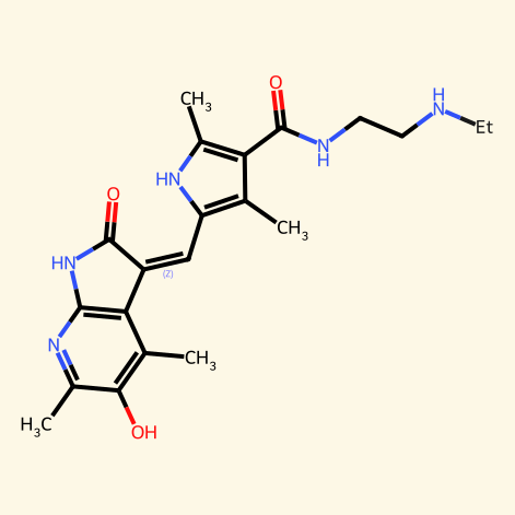 CCNCCNC(=O)c1c(C)[nH]c(/C=C2\C(=O)Nc3nc(C)c(O)c(C)c32)c1C